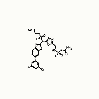 COCCS(=O)(=O)C(c1nnc(CNS(=O)(=O)OC(N)=O)o1)c1nc2ccc(-c3cc(F)cc(Cl)c3)cc2s1